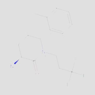 Cc1ccccc1[C@H]1CC[C@H](N)C(=O)N1CCC(F)(F)F